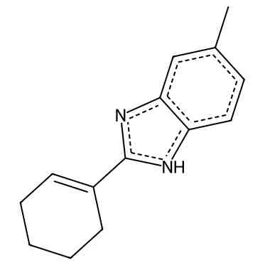 Cc1ccc2[nH]c(C3=CCCCC3)nc2c1